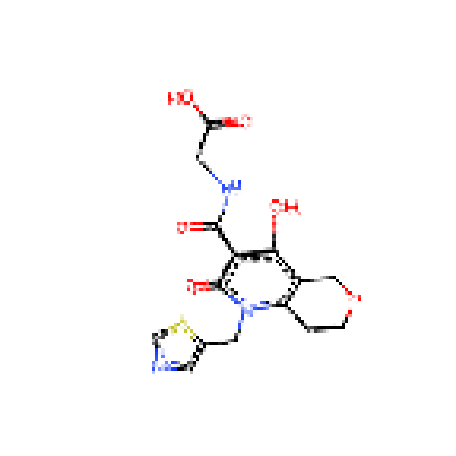 O=C(O)CNC(=O)c1c(O)c2c(n(Cc3cncs3)c1=O)CCOC2